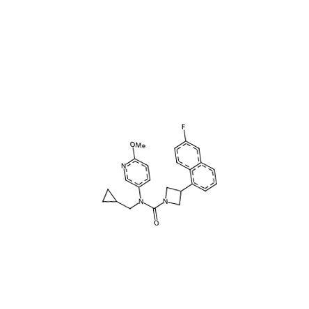 COc1ccc(N(CC2CC2)C(=O)N2CC(c3cccc4cc(F)ccc34)C2)cn1